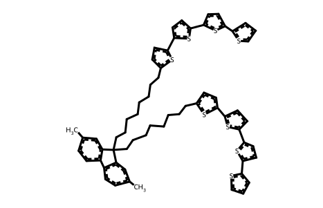 Cc1ccc2c(c1)C(CCCCCCCCc1ccc(-c3ccc(-c4ccc(-c5cccs5)s4)s3)s1)(CCCCCCCCc1ccc(-c3ccc(-c4ccc(-c5cccs5)s4)s3)s1)c1cc(C)ccc1-2